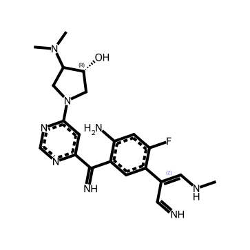 CN/C=C(\C=N)c1cc(C(=N)c2cc(N3CC(N(C)C)[C@H](O)C3)ncn2)c(N)cc1F